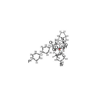 CC(C)(C)OC(=O)NC1CC2CCC(C1)N2C(=O)C(NS(=O)(=O)c1ccc(-c2ccc(F)cc2)cc1)C(F)(F)c1ccc(Br)cc1